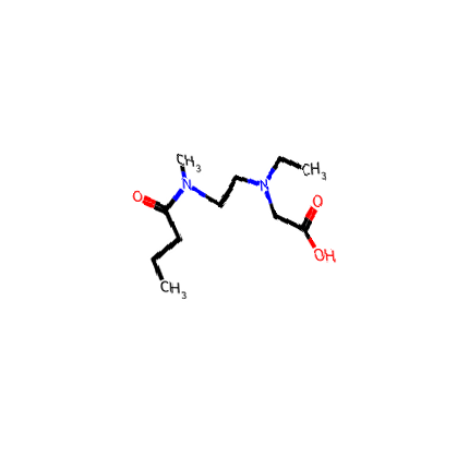 CCCC(=O)N(C)CCN(CC)CC(=O)O